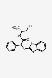 O=C(N[C@@H](CS)C(=O)O)C(Sc1nc2ccccc2s1)c1ccccc1